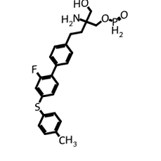 Cc1ccc(Sc2ccc(-c3ccc(CCC(N)(CO)CO[PH2]=O)cc3)c(F)c2)cc1